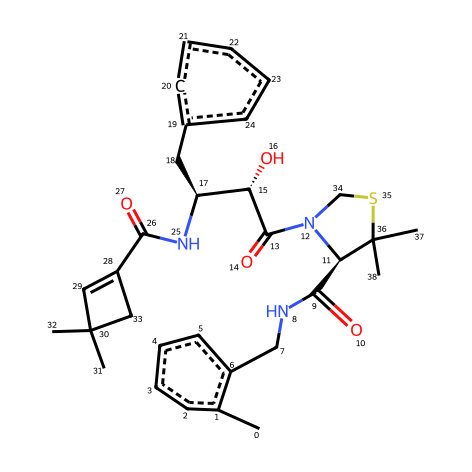 Cc1ccccc1CNC(=O)[C@H]1N(C(=O)[C@@H](O)[C@H](Cc2ccccc2)NC(=O)C2=CC(C)(C)C2)CSC1(C)C